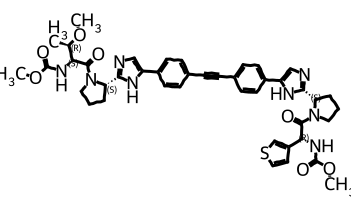 COC(=O)N[C@H](C(=O)N1CCC[C@H]1c1ncc(-c2ccc(C#Cc3ccc(-c4cnc([C@@H]5CCCN5C(=O)[C@H](NC(=O)OC)c5ccsc5)[nH]4)cc3)cc2)[nH]1)[C@@H](C)OC